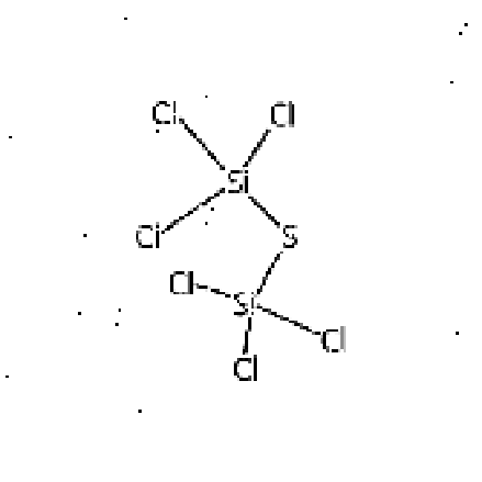 Cl[Si](Cl)(Cl)S[Si](Cl)(Cl)Cl